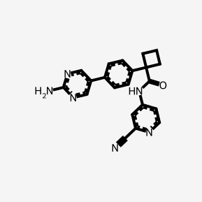 N#Cc1cc(NC(=O)C2(c3ccc(-c4cnc(N)nc4)cc3)CCC2)ccn1